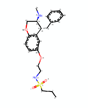 CCCS(=O)(=O)NCCOc1ccc2c(c1)[C@@H](Cc1ccccc1)[C@H](NC)CO2